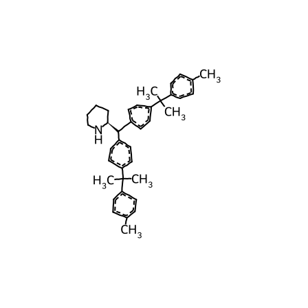 Cc1ccc(C(C)(C)c2ccc(C(c3ccc(C(C)(C)c4ccc(C)cc4)cc3)[C@@H]3CCCCN3)cc2)cc1